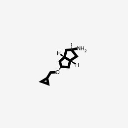 C[C@@]1(N)C[C@H]2C[C@@H](OCC3CC3)C[C@H]2C1